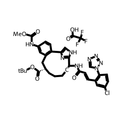 COC(=O)Nc1ccc2c(c1)C[C@@H](C(=O)OC(C)(C)C)CCCCC(NC(=O)/C=C/c1cc(Cl)ccc1-n1cnnn1)c1nc-2c[nH]1.O=C(O)C(F)(F)F